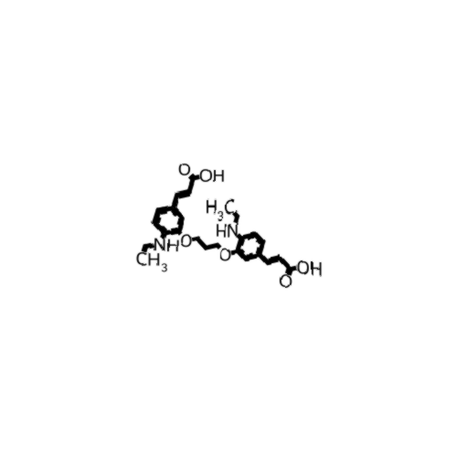 CCNc1ccc(/C=C/C(=O)O)cc1OCCCOc1cc(/C=C/C(=O)O)ccc1NCC